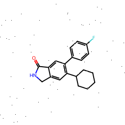 O=C1NCc2cc(C3CCCCC3)c(-c3ccc(F)cc3)cc21